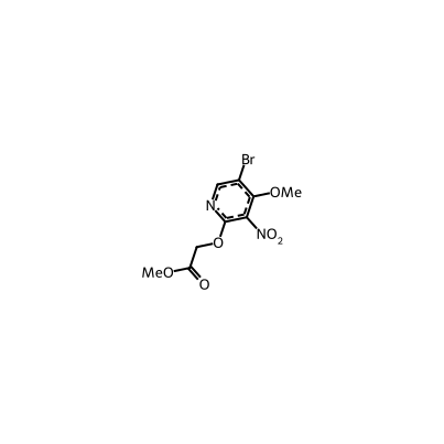 COC(=O)COc1ncc(Br)c(OC)c1[N+](=O)[O-]